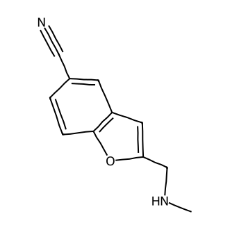 CNCc1cc2cc(C#N)ccc2o1